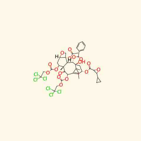 CC(=O)O[C@@]12CO[C@@H]1C[C@H](OC(=O)OCC(Cl)(Cl)Cl)[C@@]1(C)C(=O)C(OC(=O)OCC(Cl)(Cl)Cl)C3=C(C)[C@@H](OC(=O)C4OC4C4CC4)C[C@@](O)([C@@H](OC(=O)c4ccccc4)[C@H]21)C3(C)C